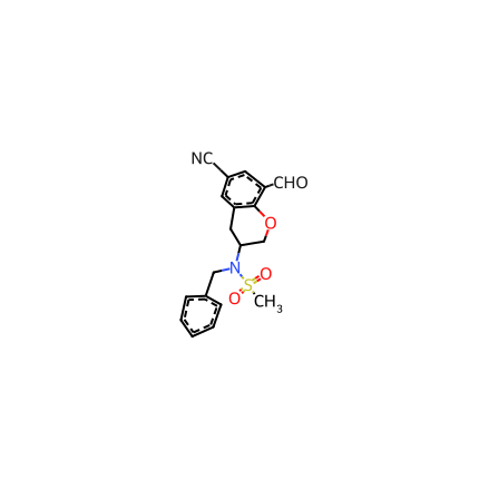 CS(=O)(=O)N(Cc1ccccc1)C1COc2c(C=O)cc(C#N)cc2C1